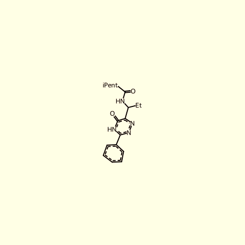 CCCC(C)C(=O)NC(CC)c1nnc(-c2ccccc2)[nH]c1=O